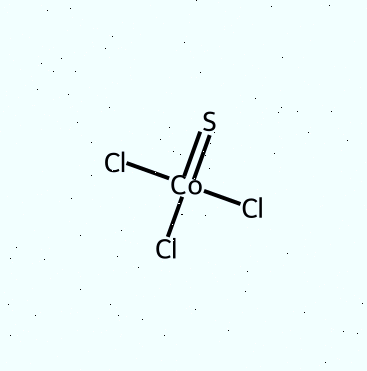 [S]=[Co]([Cl])([Cl])[Cl]